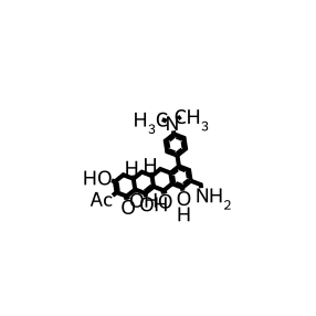 CC(=O)C1=C(O)C[C@@H]2C[C@@H]3Cc4c(-c5ccc(N(C)C)cc5)cc(CN)c(O)c4C(=O)C3=C(O)[C@]2(O)C1=O